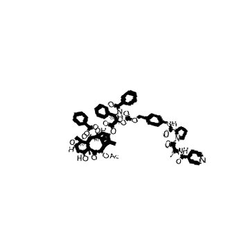 CC(=O)O[C@H]1C(=O)[C@@]2(C)C([C@H](OC(=O)c3ccccc3)[C@]3(O)C[C@H](OC(=O)[C@H](OC(=O)OCc4ccc(NC(=O)[C@@H]5CCCN5C(=O)[C@@H](C)NC(=O)c5ccncc5)cc4)[C@@H](NC(=O)c4ccccc4)c4ccccc4)C(C)=C1C3(C)C)[C@]1(OC(C)=O)CO[C@@H]1C[C@@H]2O